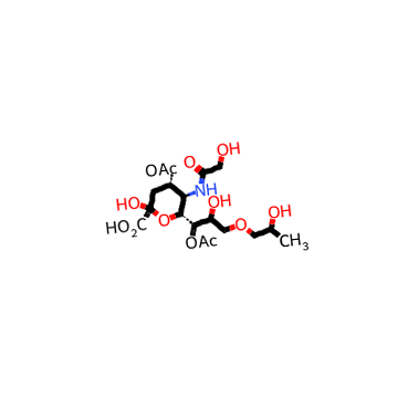 CC(=O)OC(C(O)COCC(C)O)[C@@H]1OC(O)(C(=O)O)C[C@H](OC(C)=O)[C@H]1NC(=O)CO